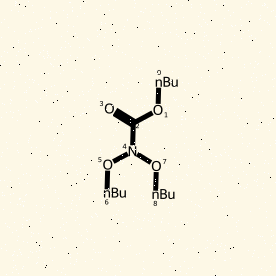 CCCCOC(=O)N(OCCCC)OCCCC